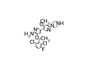 COc1cc(N2CCNCC2)ncc1-c1cnc(N)c(OC(C)c2c(Cl)ccc(F)c2Cl)c1